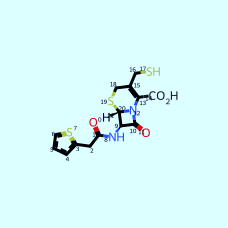 O=C(Cc1cccs1)N[C@@H]1C(=O)N2C(C(=O)O)=C(CS)CS[C@@H]12